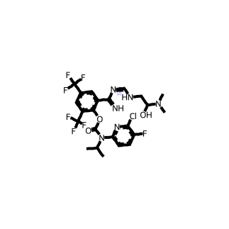 CC(C)N(C(=O)Oc1c(C(=N)/N=C\NCC(O)N(C)C)cc(C(F)(F)F)cc1C(F)(F)F)c1ccc(F)c(Cl)n1